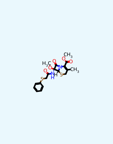 COC(=O)C1=C(C)CS[C@H]2N1C(=O)[C@]2(NC(=O)CSc1ccccc1)OC